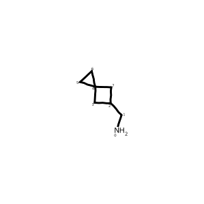 NCC1CC2(CC2)C1